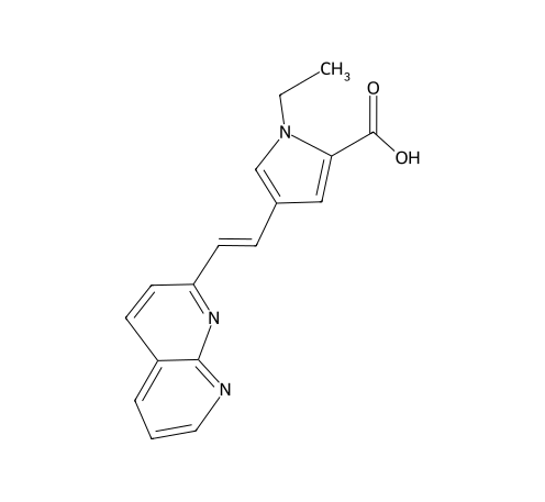 CCn1cc(C=Cc2ccc3cccnc3n2)cc1C(=O)O